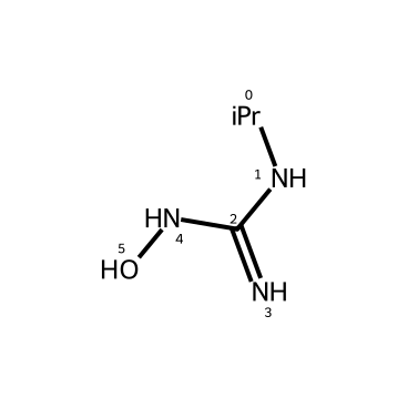 CC(C)NC(=N)NO